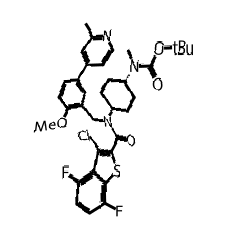 COc1ccc(-c2ccnc(C)c2)cc1CN(C(=O)c1sc2c(F)ccc(F)c2c1Cl)[C@H]1CC[C@H](N(C)C(=O)OC(C)(C)C)CC1